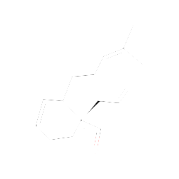 C=CC[C@@]1(C=O)CCC=CC1CCC=C(C)C